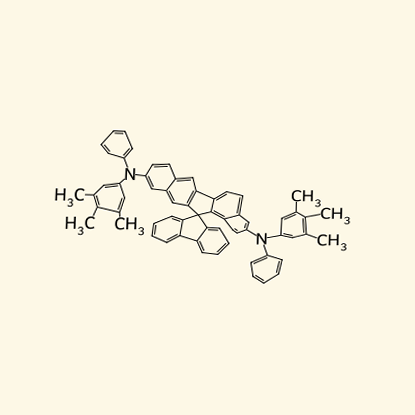 Cc1cc(N(c2ccccc2)c2ccc3cc4c(cc3c2)C2(c3ccccc3-c3ccccc32)c2c-4ccc3cc(N(c4ccccc4)c4cc(C)c(C)c(C)c4)ccc23)cc(C)c1C